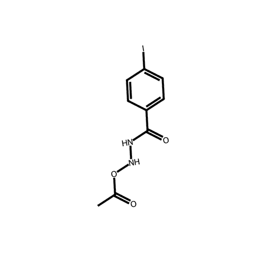 CC(=O)ONNC(=O)c1ccc(I)cc1